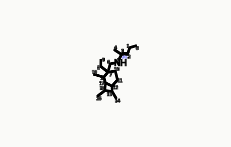 CC/C=C(\C)NCC1(CC)CCC2C(C)C(C)C2C1C